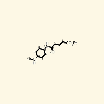 CCOC(=O)CCCC(=O)N[C@H]1CC[C@H](NI)CC1